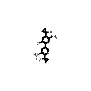 CC1(c2ncc(-c3cc(N)c(C4(O)CC4)cc3Cl)cc2N)CC1